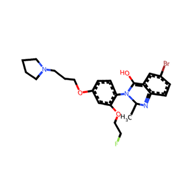 CC1N=c2ccc(Br)cc2=C(O)N1c1ccc(OCCCN2CCCC2)cc1OCCF